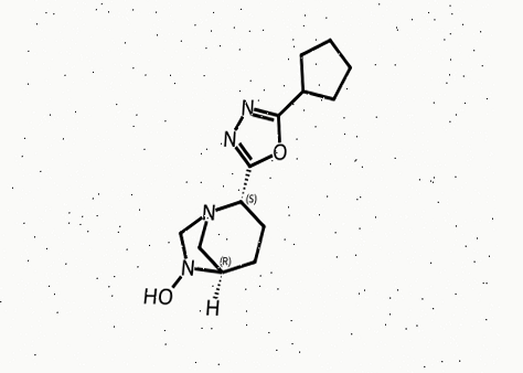 ON1CN2C[C@H]1CC[C@H]2c1nnc(C2CCCC2)o1